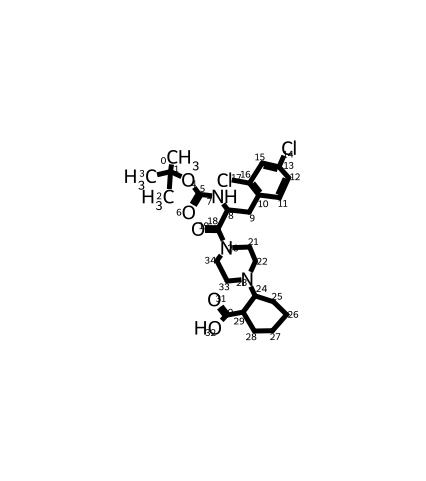 CC(C)(C)OC(=O)NC(Cc1ccc(Cl)cc1Cl)C(=O)N1CCN(C2CCCCC2C(=O)O)CC1